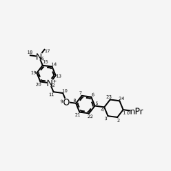 CCCC1CCC(c2ccc(OCC[n+]3ccc(N(C)C)cc3)cc2)CC1